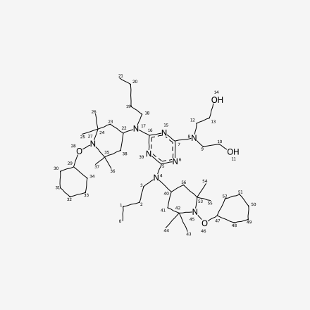 CCCCN(c1nc(N(CCO)CCO)nc(N(CCCC)C2CC(C)(C)N(OC3CCCCC3)C(C)(C)C2)n1)C1CC(C)(C)N(OC2CCCCC2)C(C)(C)C1